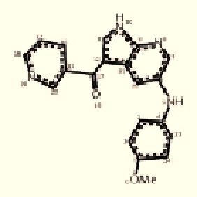 COc1ccc(Nc2cnc3[nH]cc(C(=O)c4cccnc4)c3c2)cc1